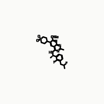 COc1nc2nc(C)nc(N[C@H](C)c3cccc(CC(C)F)c3F)c2cc1C1CCS(=O)(=O)CC1